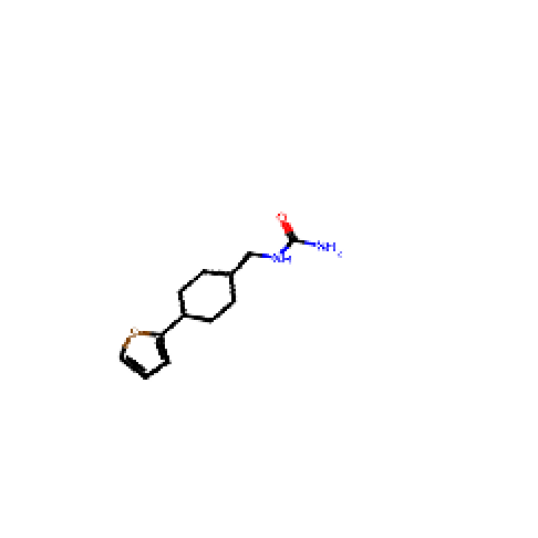 NC(=O)NCC1CCC(c2cccs2)CC1